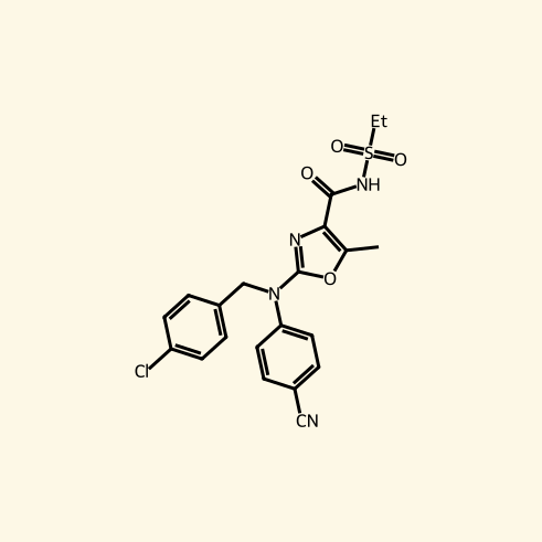 CCS(=O)(=O)NC(=O)c1nc(N(Cc2ccc(Cl)cc2)c2ccc(C#N)cc2)oc1C